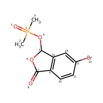 CP(C)(=O)OC1OC(=O)c2ccc(Br)cc21